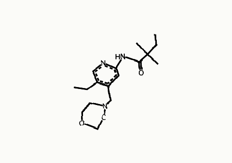 CCc1cnc(NC(=O)C(C)(C)CC)cc1CN1CCOCC1